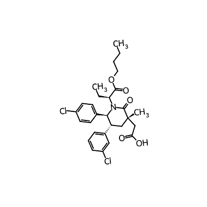 CCCCOC(=O)[C@H](CC)N1C(=O)[C@](C)(CC(=O)O)C[C@H](c2cccc(Cl)c2)[C@H]1c1ccc(Cl)cc1